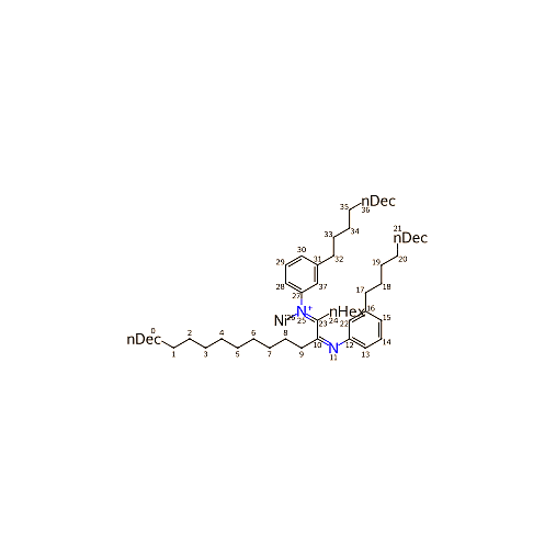 CCCCCCCCCCCCCCCCCCCC(=Nc1cccc(CCCCCCCCCCCCCC)c1)C(CCCCCC)=[N+]([Ni])c1cccc(CCCCCCCCCCCCCC)c1